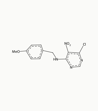 COc1ccc(CNc2ncnc(Cl)c2[N+](=O)[O-])cc1